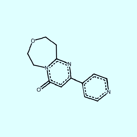 O=c1cc(-c2ccncc2)nc2n1CCOCC2